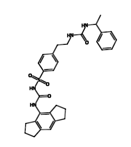 CC(NC(=O)NCCc1ccc(S(=O)(=O)NC(=O)Nc2c3c(cc4c2CCC4)CCC3)cc1)c1ccccc1